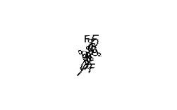 O=C1C(=O)c2c(F)cc(F)cc2/C1=C/c1nc2c(C(=O)OCc3ccccc3)cc3c(cc(C(=O)OCc4ccccc4)c4nc(/C=C5\C(=O)C(=O)c6c(F)cc(F)cc65)sc43)c2s1